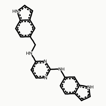 c1cc(NCc2ccc3[nH]ccc3c2)nc(Nc2ccc3cc[nH]c3c2)n1